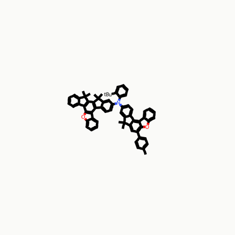 Cc1ccc(-c2cc3c(c4c2oc2ccccc24)-c2ccc(N(c4ccc5c(c4)C(C)(C)c4c6c(c7oc8ccccc8c7c4-5)-c4ccccc4C6(C)C)c4ccccc4C(C)(C)C)cc2C3(C)C)cc1